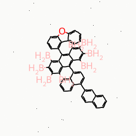 Bc1c(B)c(B)c2c(-c3cccc4oc5ccccc5c34)c3c(B)c(B)c(B)c(B)c3c(-c3ccc(-c4ccc5ccccc5c4)c4ccccc34)c2c1B